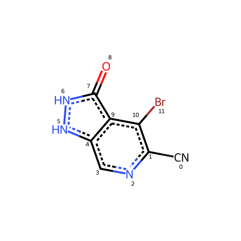 N#Cc1ncc2[nH][nH]c(=O)c2c1Br